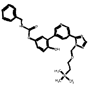 C[Si](C)(C)CCOCn1ncnc1-c1cncc(-c2cc(OC(=O)NCc3ccccc3)ccc2O)c1